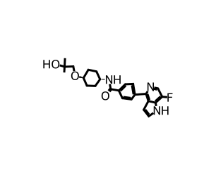 CC(C)(O)CO[C@H]1CC[C@H](NC(=O)c2ccc(-c3ncc(F)c4[nH]ccc34)cc2)CC1